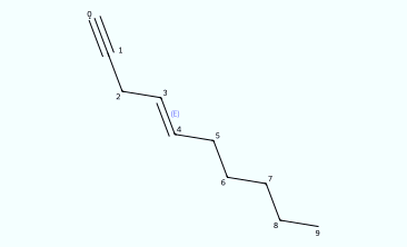 [C]#CC/C=C/CCCCC